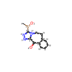 C[S+]([O-])c1nnc2c(=O)c3ccccc3ccn12